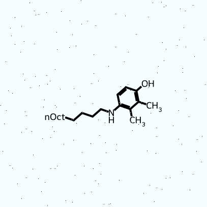 CCCCCCCCCCCCNc1ccc(O)c(C)c1C